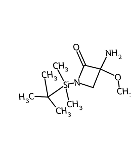 COC1(N)CN([Si](C)(C)C(C)(C)C)C1=O